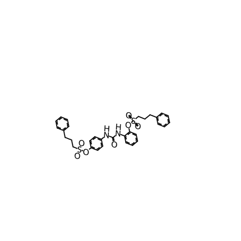 O=C(Nc1ccc(OS(=O)(=O)CCCc2ccccc2)cc1)Nc1ccccc1OS(=O)(=O)CCCc1ccccc1